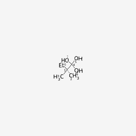 CCC(C)(C)C(O)(O)O